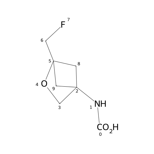 O=C(O)NC12COC(CF)(C1)C2